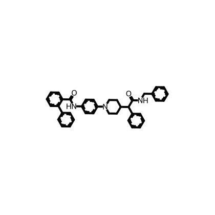 O=C(Nc1ccc(N2CCC(C(C(=O)NCc3ccccc3)c3ccccc3)CC2)cc1)c1ccccc1-c1ccccc1